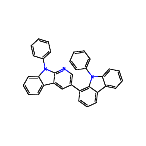 c1ccc(-n2c3ccccc3c3cc(-c4cccc5c6ccccc6n(-c6ccccc6)c45)cnc32)cc1